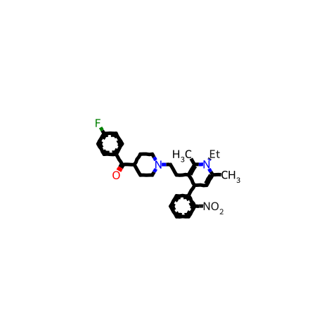 CCN1C(C)=CC(c2ccccc2[N+](=O)[O-])C(CCN2CCC(C(=O)c3ccc(F)cc3)CC2)=C1C